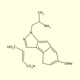 COC1=CCC2=c3cnn(CC(C)N)c3=CC2=C1.O=C(O)/C=C/C(=O)O